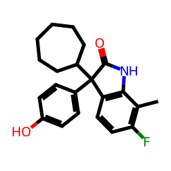 Cc1c(F)ccc2c1NC(=O)C2(c1ccc(O)cc1)C1CCCCCC1